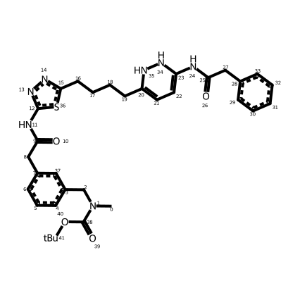 CN(Cc1cccc(CC(=O)Nc2nnc(CCCCC3=CC=C(NC(=O)Cc4ccccc4)NN3)s2)c1)C(=O)OC(C)(C)C